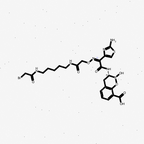 Nc1nc(/C(=N/OCC(=O)NCCCCCNC(=O)CBr)C(=O)N[C@H]2Cc3cccc(C(=O)O)c3OB2O)cs1